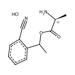 CC(OC(=O)[C@H](C)N)c1ccccc1C#N.Cl